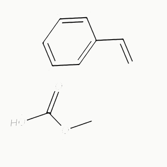 C=Cc1ccccc1.COC(=O)O